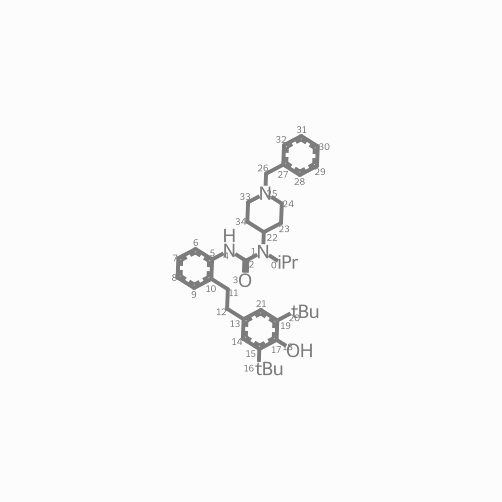 CC(C)N(C(=O)Nc1ccccc1CCc1cc(C(C)(C)C)c(O)c(C(C)(C)C)c1)C1CCN(Cc2ccccc2)CC1